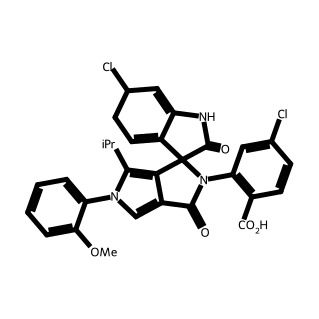 COc1ccccc1-n1cc2c(c1C(C)C)C1(C(=O)NC3=CC(Cl)CC=C31)N(c1cc(Cl)ccc1C(=O)O)C2=O